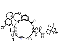 CO[C@H]1/C=C/C[C@H](C)C[S@@](=O)(NC(=O)N[C@H]2C[C@@](O)(C(F)(F)F)C2)=NC(=O)c2ccc3c(c2)N(C[C@@H]2CC[C@H]21)C[C@@]1(CCCc2cc(Cl)ccc21)CO3